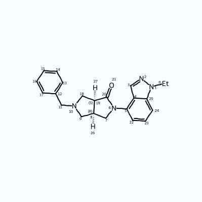 CCn1ncc2c(N3C[C@H]4CN(Cc5ccccc5)C[C@H]4C3=O)cccc21